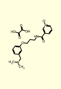 CN(C)Cc1cccc(OCCCNC(=O)c2ccc[n+]([O-])c2)c1.O=C(O)C(=O)O